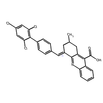 CC1C/C(=C\c2ccc(-c3c(Cl)cc(Cl)cc3Cl)cc2)c2nc3ccccc3c(C(=O)O)c2C1